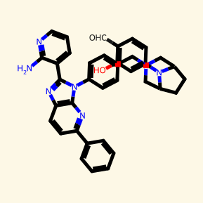 Nc1ncccc1-c1nc2ccc(-c3ccccc3)nc2n1-c1ccc(CN2CC3CCC(C2)N3c2ccc(C=O)c(O)c2)cc1